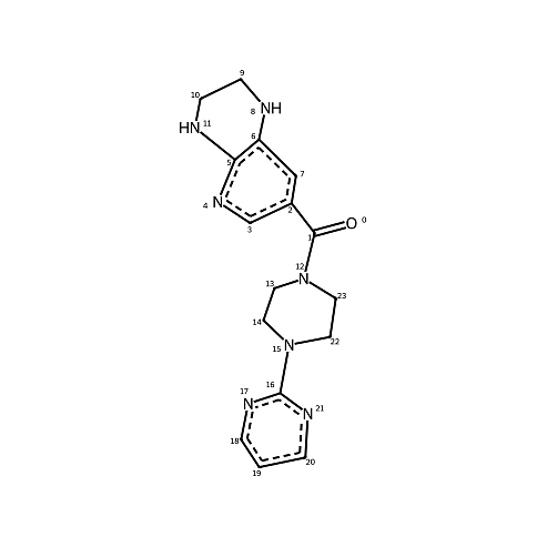 O=C(c1cnc2c(c1)NCCN2)N1CCN(c2ncccn2)CC1